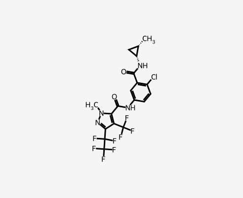 C[C@H]1C[C@H]1NC(=O)c1cc(NC(=O)c2c(C(F)(F)F)c(C(F)(F)C(F)(F)F)nn2C)ccc1Cl